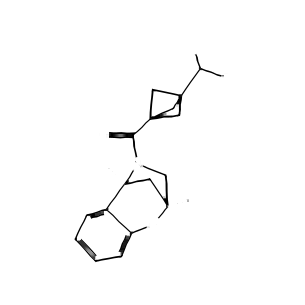 O=C(N1C[C@@H]2C[C@H]1c1ccccc1O2)C12CC(C(F)F)(C1)C2